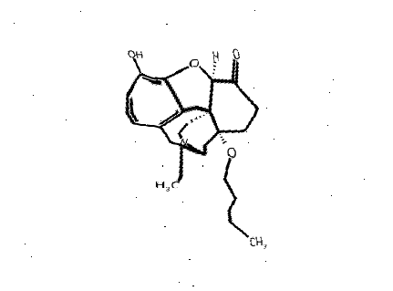 CCCCO[C@@]12CCC(=O)[C@@H]3Oc4c(O)ccc5c4[C@@]31CCN(C)C2C5